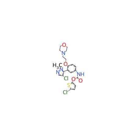 Cn1ncc(Cl)c1-c1cc(NC(=O)Oc2ccc(Cl)s2)ccc1OCCN1CCOCC1